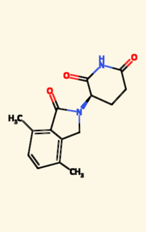 Cc1ccc(C)c2c1CN([C@@H]1CCC(=O)NC1=O)C2=O